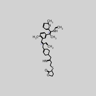 C=CN/C(=C(\C)c1ccc(C)c(/C=C(\C=C)CC2=CCC(CC(=N)CCSC3CCOC3=O)CC2)c1)c1cccc(C)n1